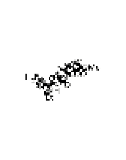 CCON=C(C(=O)NC1C(=O)N2C(C(=O)[O-])=C(C[n+]3ccc(OC)cc3)CS[C@@H]12)c1nsc(N)n1